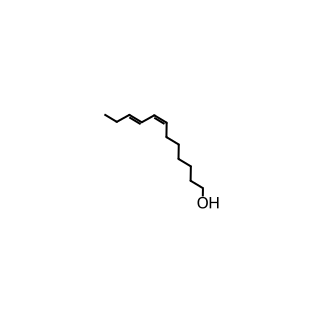 CC/C=C/C=C\CCCCCCO